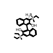 BS(C)(CC)c1cc2ccccc2c(-c2c(O)c(S(C)(CC)CC)cc3ccccc23)c1O